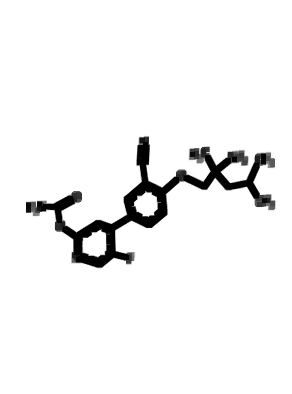 CC(C)CC(C)(N)COc1ccc(-c2cc(OC(N)=O)ncc2F)cc1C#N